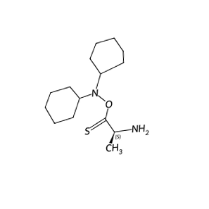 C[C@H](N)C(=S)ON(C1CCCCC1)C1CCCCC1